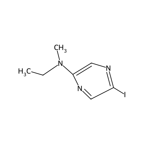 CCN(C)c1cnc(I)cn1